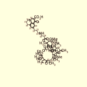 CC[C@H]1OC(=O)[C@H](C)[C@@H](O[C@H]2C[C@@](C)(OC)[C@@H](OC(=O)CCNCCCc3cc4c5c(c3)c(=O)c(C(=O)O)cn5CCC4)[C@H](C)O2)[C@H](C)[C@@H](O[C@@H]2O[C@H](C)C[C@H](N(C)C)[C@H]2O)[C@](C)(OC)C[C@@H](C)C(=O)[C@@H](C)[C@@H](O)[C@]1(C)O